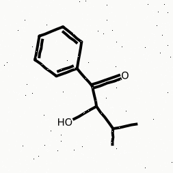 CC(C)C(O)C(=O)c1ccccc1